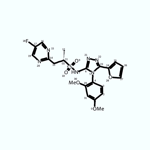 COc1ccc(-n2c(NS(=O)(=O)[C@@H](C)Cc3ncc(F)cn3)nnc2-c2ccco2)c(OC)c1